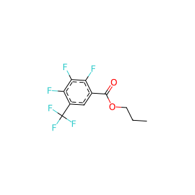 CCCOC(=O)c1cc(C(F)(F)F)c(F)c(F)c1F